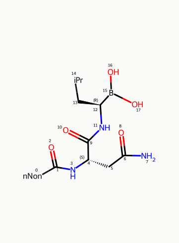 CCCCCCCCCC(=O)N[C@@H](CC(N)=O)C(=O)N[C@@H](CC(C)C)B(O)O